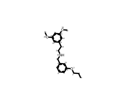 CCCOc1cccc(CNCCc2cc(OC)cc(OC)c2)c1